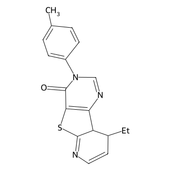 CCC1C=CN=C2Sc3c(ncn(-c4ccc(C)cc4)c3=O)C21